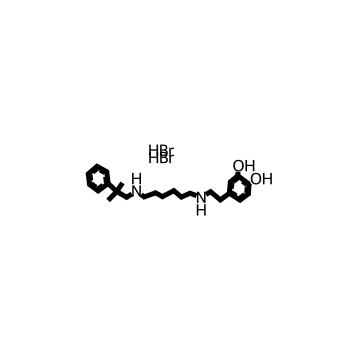 Br.Br.CC(C)(CNCCCCCCNCCc1ccc(O)c(O)c1)c1ccccc1